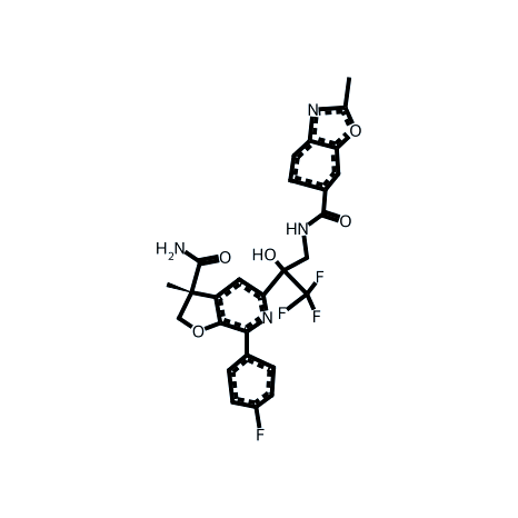 Cc1nc2ccc(C(=O)NCC(O)(c3cc4c(c(-c5ccc(F)cc5)n3)OC[C@]4(C)C(N)=O)C(F)(F)F)cc2o1